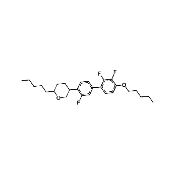 CCCCCOc1ccc(-c2ccc(C3CCC(CCCCC)OC3)c(F)c2)c(F)c1F